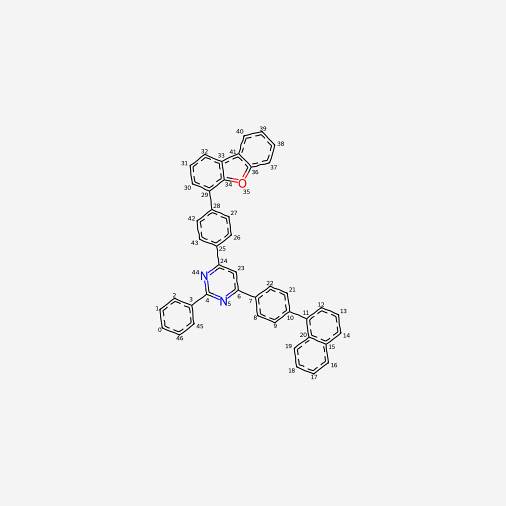 c1ccc(-c2nc(-c3ccc(-c4cccc5ccccc45)cc3)cc(-c3ccc(-c4cccc5c4oc4ccccc45)cc3)n2)cc1